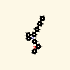 c1ccc(-c2ccc(-c3ccc(-c4ccc(N(c5ccc(-c6cccc7c6oc6ccccc67)cc5)c5cccc6ccccc56)cc4)cc3)cc2)cc1